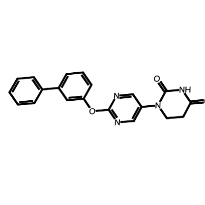 O=C1CCN(c2cnc(Oc3cccc(-c4ccccc4)c3)nc2)C(=O)N1